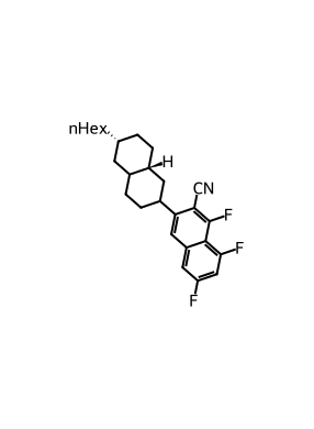 CCCCCC[C@@H]1CC[C@@H]2CC(c3cc4cc(F)cc(F)c4c(F)c3C#N)CCC2C1